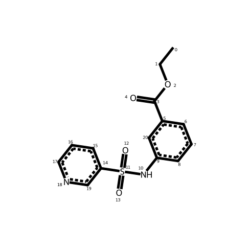 CCOC(=O)c1cccc(NS(=O)(=O)c2cccnc2)c1